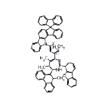 C/C=C(\C=C(/C)n1c2ccccc2c2ccc3c(c21)-c1ccccc1C31c2ccccc2-c2ccccc21)C1=C(C)C(C)C(C2c3ccccc3-c3ccccc3C2C)NC(C2CC=Cc3c2oc2ccccc32)=N1